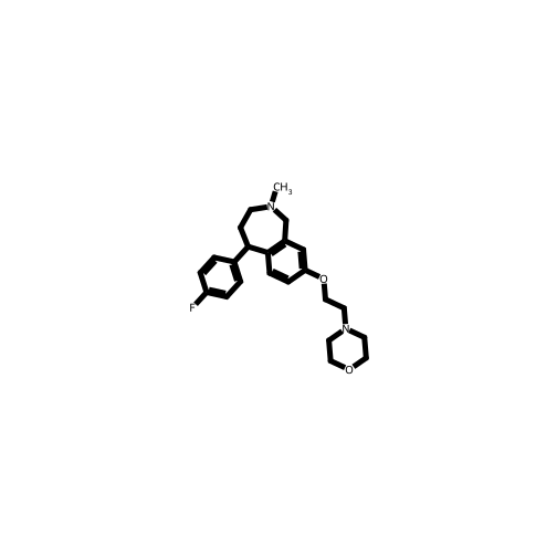 CN1CCC(c2ccc(F)cc2)c2ccc(OCCN3CCOCC3)cc2C1